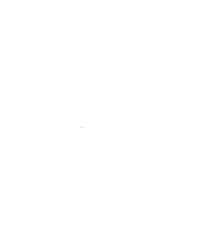 O=C(Oc1ccccc1)N(CCl)c1ccccc1